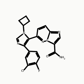 NC(=O)c1cnc2ccc(-c3c(-c4ccc(F)c(Cl)c4)ncn3C3CCC3)nn12